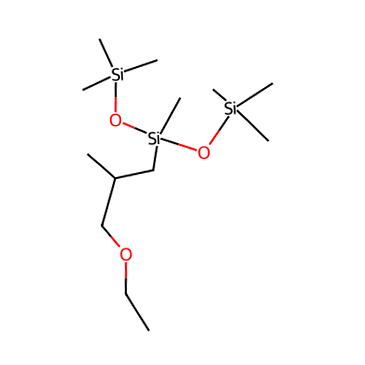 CCOCC(C)C[Si](C)(O[Si](C)(C)C)O[Si](C)(C)C